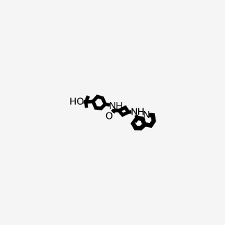 CC(C)(O)C1CCC(NC(=O)C2CC(Nc3cccc4cccnc34)C2)CC1